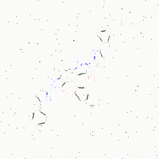 Cc1nn(-c2nc(-c3ccc(C(=O)O)cc3)cs2)c(O)c1C(c1ccc(Br)cc1)c1c(C)nn(-c2nc(-c3ccc(C(=O)O)cc3)cs2)c1O